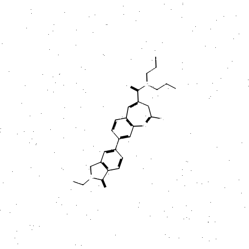 CCCN(CCC)C(=O)C1=Cc2ccc(-c3ccc4c(c3)CN(CC)C4=O)cc2N=C(N)C1